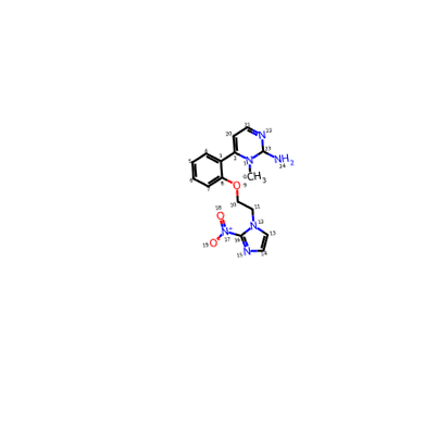 CN1C(c2ccccc2OCCn2ccnc2[N+](=O)[O-])=CC=NC1N